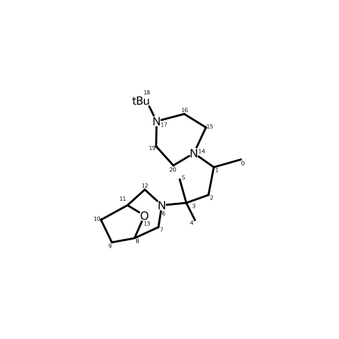 CC(CC(C)(C)N1CC2CCC(C1)O2)N1CCN(C(C)(C)C)CC1